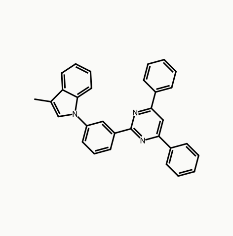 Cc1cn(-c2cccc(-c3nc(-c4ccccc4)cc(-c4ccccc4)n3)c2)c2ccccc12